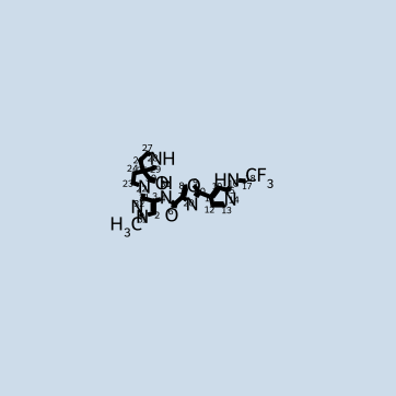 Cn1cc(NC(=O)c2coc(-c3ccnc(NCC(F)(F)F)c3)n2)c(N2CCC3(CCNC3)C2=O)n1